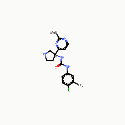 CNc1nccc([C@]2(NC(=O)Nc3ccc(Cl)c(C(F)(F)F)c3)CCNC2)n1